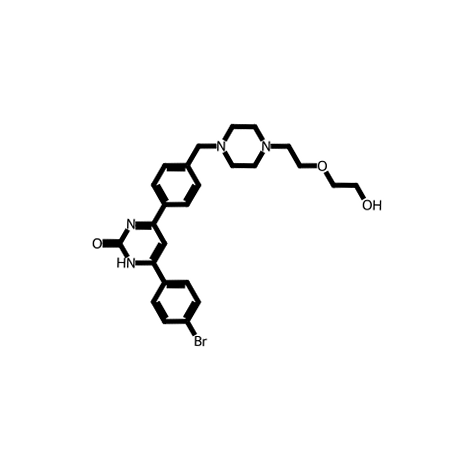 O=c1nc(-c2ccc(CN3CCN(CCOCCO)CC3)cc2)cc(-c2ccc(Br)cc2)[nH]1